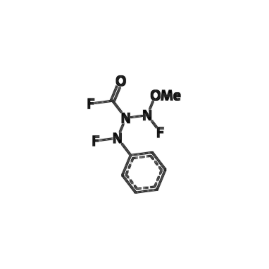 CON(F)N(C(=O)F)N(F)c1ccccc1